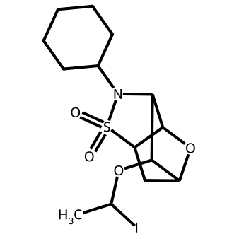 CC(I)OC1C2CC3C(O2)C1N(C1CCCCC1)S3(=O)=O